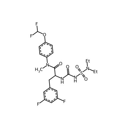 CCN(CC)S(=O)(=O)NC(=O)NC(Cc1cc(F)cc(F)c1)C(=O)N(C)c1ccc(OC(F)F)cc1